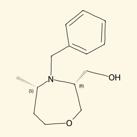 C[C@H]1CCOC[C@@H](CO)N1Cc1ccccc1